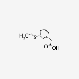 CCSc1cccc(CC(=O)O)c1